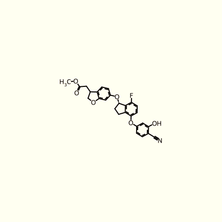 COC(=O)CC1COc2cc(O[C@@H]3CCc4c(Oc5ccc(C#N)c(O)c5)ccc(F)c43)ccc21